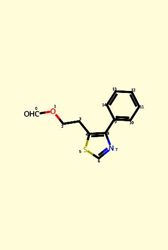 O=COCCc1scnc1-c1ccccc1